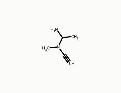 C#CN(C)C(C)N